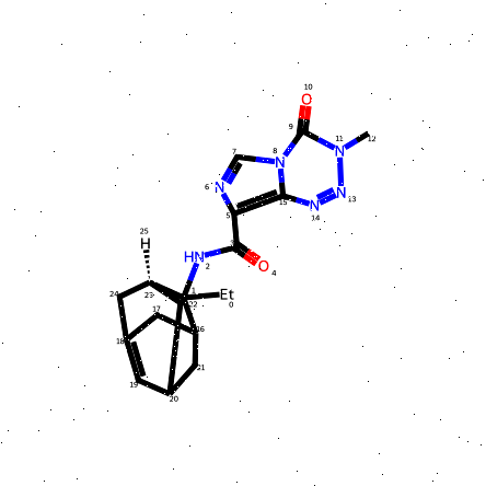 CCC1(NC(=O)c2ncn3c(=O)n(C)nnc23)C2CC3=CC(C2)C[C@H]1C3